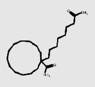 NC(=O)CCCCCCCC1(C(N)=O)CCCCCCCCCCCC1